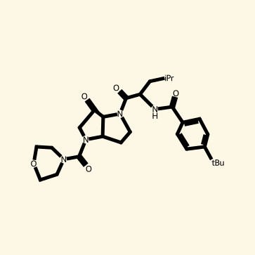 CC(C)CC(NC(=O)c1ccc(C(C)(C)C)cc1)C(=O)N1CCC2C1C(=O)CN2C(=O)N1CCOCC1